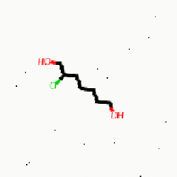 OCCCCCC(Cl)CO